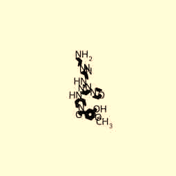 COc1ccc(C(=O)N2CCC(Nc3cc(N4CCOCC4)nc(NCc4cn(CCCN)nn4)n3)CC2)cc1O